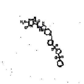 Nc1nc(N)c(C(=O)/N=C2\NCC3(CCN(Cc4cccc(S(=O)(=O)N5CCC(S(=O)(=O)c6ccccc6)C5)c4)CC3)N2)nc1Cl